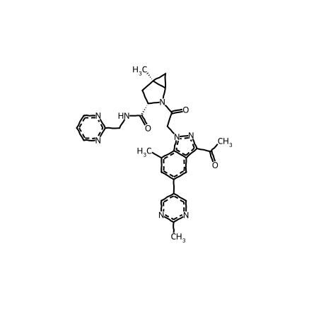 CC(=O)c1nn(CC(=O)N2C3C[C@]3(C)C[C@H]2C(=O)NCc2ncccn2)c2c(C)cc(-c3cnc(C)nc3)cc12